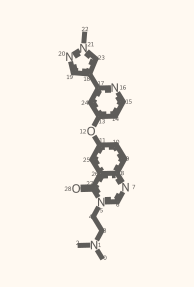 CN(C)CCn1cnc2ccc(Oc3ccnc(-c4cnn(C)c4)c3)cc2c1=O